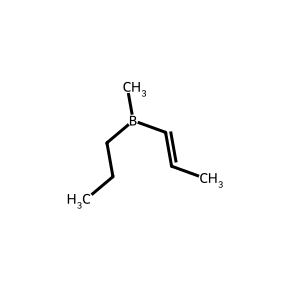 CC=CB(C)CCC